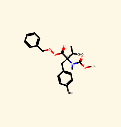 CC(C=O)[C@@](Cc1ccc(C(C)(C)C)cc1)(C(=O)OOCc1ccccc1)N(C)C(=O)OC(C)(C)C